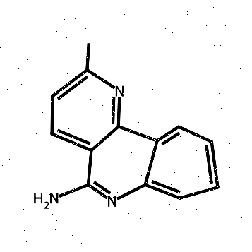 Cc1ccc2c(N)nc3ccccc3c2n1